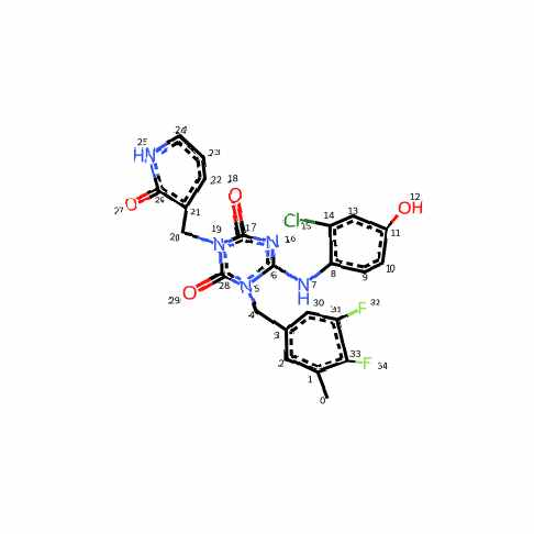 Cc1cc(Cn2c(Nc3ccc(O)cc3Cl)nc(=O)n(Cc3ccc[nH]c3=O)c2=O)cc(F)c1F